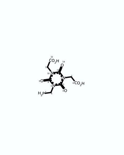 O=C(O)Cn1c(=O)n(CP)c(=O)n(CC(=O)O)c1=O